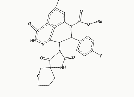 CC(C)(C)OC(=O)N1c2cc(F)cc3c(=O)[nH]nc(c23)C(N2C(=O)NC3(CCCCC3)C2=O)C1c1ccc(F)cc1